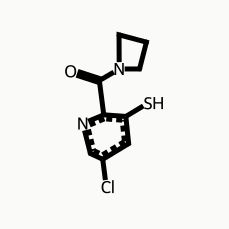 O=C(c1ncc(Cl)cc1S)N1CCC1